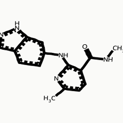 CNC(=O)c1ccc(C)nc1Nc1ccc2cn[nH]c2c1